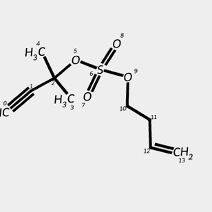 C#CC(C)(C)OS(=O)(=O)OCCC=C